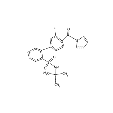 CC(C)(C)NS(=O)(=O)c1ccccc1-c1ccc(C(=O)B2C=CC=C2)c(F)c1